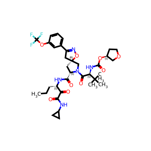 CCC[C@H](NC(=O)[C@@H]1C[C@@]2(CC(c3cccc(OC(F)(F)F)c3)=NO2)CN1C(=O)[C@@H](NC(=O)O[C@H]1CCOC1)C(C)(C)C)C(=O)C(=O)NC1CC1